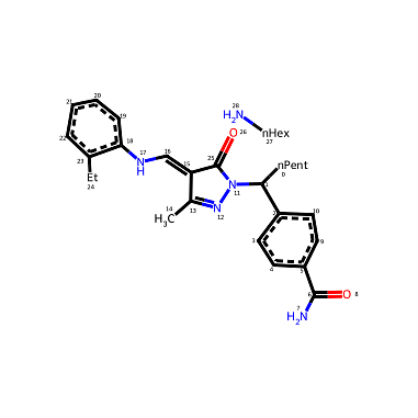 CCCCCC(c1ccc(C(N)=O)cc1)N1N=C(C)/C(=C\Nc2ccccc2CC)C1=O.CCCCCCN